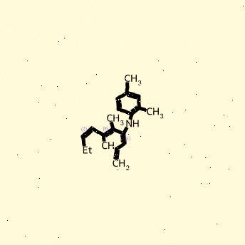 C=C\C=C(Nc1ccc(C)cc1C)/C(C)=C(C)/C=C\CC